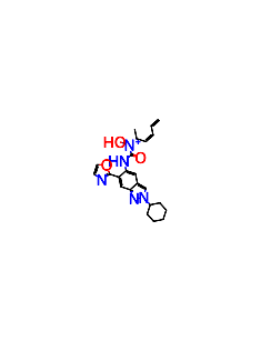 C=C/C=C\C(C)=[N+](\O)C(=O)Nc1cc2cn(C3CCCCC3)nc2cc1-c1ncco1